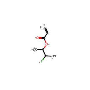 C=CC(=O)OC(C)C(F)CCC